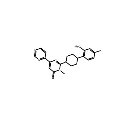 COc1cc(F)ccc1C1CCN(c2nc(-c3ccncn3)cc(=O)n2C)CC1